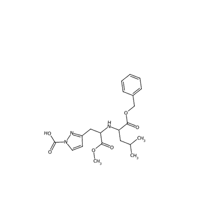 COC(=O)C(Cc1ccn(C(=O)O)n1)NC(CC(C)C)C(=O)OCc1ccccc1